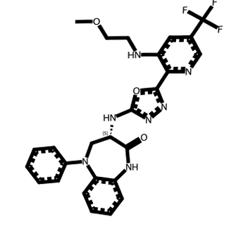 COCCNc1cc(C(F)(F)F)cnc1-c1nnc(N[C@H]2CN(c3ccccc3)c3ccccc3NC2=O)o1